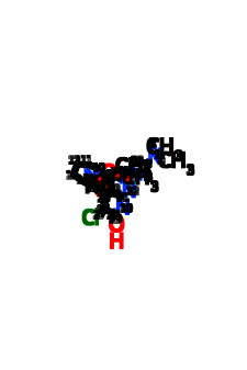 CN(C)C1CN(c2nc(N3CC4CCC(C3)N4C(=O)OC(C)(C)C)c3cc(Cl)c(O)nc3n2)C1